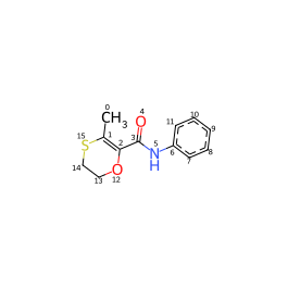 CC1=C(C(=O)Nc2ccccc2)OCCS1